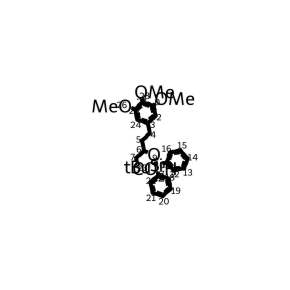 COc1cc(CCC(CC(=O)O)O[Si](c2ccccc2)(c2ccccc2)C(C)(C)C)cc(OC)c1OC